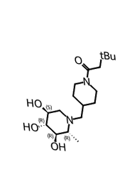 C[C@@H]1[C@@H](O)[C@H](O)[C@@H](O)CN1CC1CCN(C(=O)CC(C)(C)C)CC1